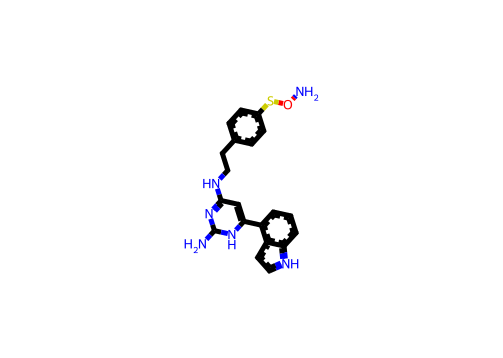 NOSc1ccc(CCNC2=NC(N)NC(c3cccc4[nH]ccc34)=C2)cc1